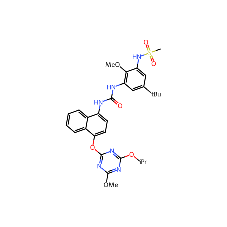 COc1nc(Oc2ccc(NC(=O)Nc3cc(C(C)(C)C)cc(NS(C)(=O)=O)c3OC)c3ccccc23)nc(OC(C)C)n1